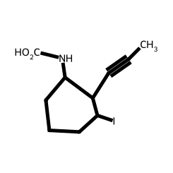 CC#CC1C(I)CCCC1NC(=O)O